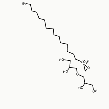 C1CO1.CC(C)CCCCCCCCCCCCCCC(=O)O.OCC(O)COCC(O)CO